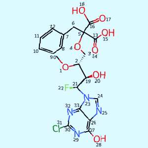 CO[C@H](COC(Cc1ccccc1)(C(=O)O)C(=O)O)[C@@H](O)[C@H](F)n1cnc2c(O)nc(Cl)nc21